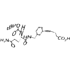 CC(C)(C)OC(=O)N[C@@H](CCC(N)=O)C(=O)NCc1cccc(C#CCCC(=O)O)c1